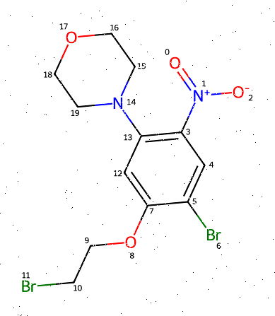 O=[N+]([O-])c1cc(Br)c(OCCBr)cc1N1CCOCC1